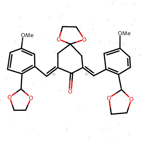 COc1ccc(C2OCCO2)c(/C=C2\CC3(C/C(=C\c4cc(OC)ccc4C4OCCO4)C2=O)OCCO3)c1